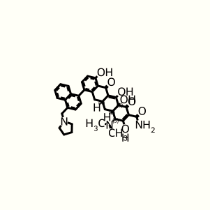 CN(C)[C@@H]1C(O)=C(C(N)=O)C(=O)[C@@]2(O)C(O)=C3C(=O)c4c(O)ccc(-c5ccc(CN6CCCC6)c6ccccc56)c4C[C@H]3C[C@@H]12